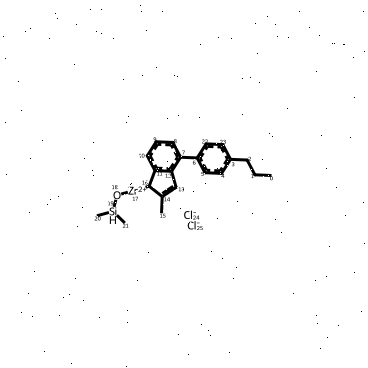 CCCc1ccc(-c2cccc3c2C=C(C)[CH]3[Zr+2][O][SiH](C)C)cc1.[Cl-].[Cl-]